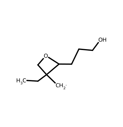 [CH2]C1(CC)COC1CCCO